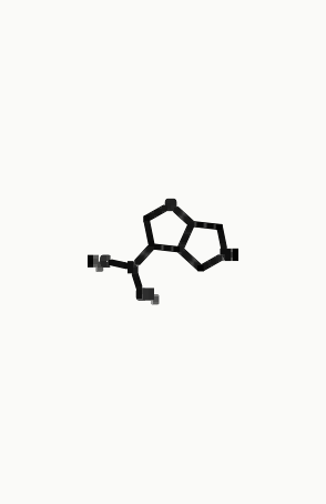 CN(C)C1COC2CNCC21